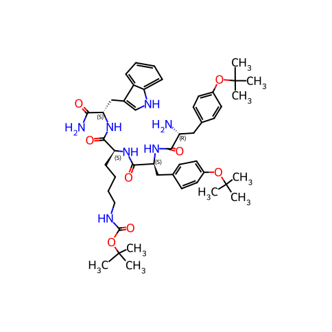 CC(C)(C)OC(=O)NCCCC[C@H](NC(=O)[C@H](Cc1ccc(OC(C)(C)C)cc1)NC(=O)[C@H](N)Cc1ccc(OC(C)(C)C)cc1)C(=O)N[C@@H](Cc1c[nH]c2ccccc12)C(N)=O